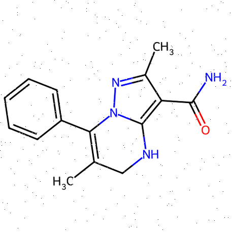 CC1=C(c2ccccc2)n2nc(C)c(C(N)=O)c2NC1